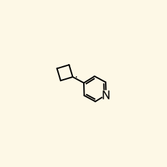 c1cc([C]2CCC2)ccn1